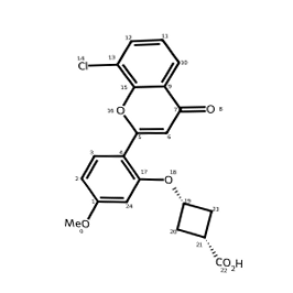 COc1ccc(-c2cc(=O)c3cccc(Cl)c3o2)c(O[C@H]2C[C@@H](C(=O)O)C2)c1